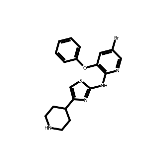 Brc1cnc(Nc2nc(C3CCNCC3)cs2)c(Oc2ccccc2)c1